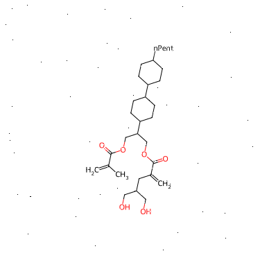 C=C(C)C(=O)OCC(COC(=O)C(=C)CC(CO)CO)C1CCC(C2CCC(CCCCC)CC2)CC1